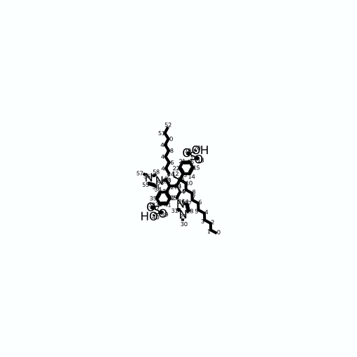 CCCCCCCCCCC[C@@](C)(c1ccc(S(=O)(=O)O)cc1)[C@@H](CC[n+]1ccn(C)c1)C(c1ccc(S(=O)(=O)O)cc1)[C@@H](CCCCCCCCC)[n+]1ccn(C)c1